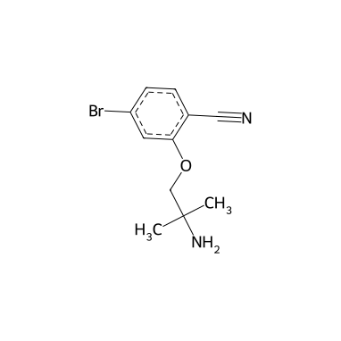 CC(C)(N)COc1cc(Br)ccc1C#N